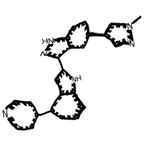 Cn1cc(-c2ccc3[nH]nc(-c4cc5c(-c6ccncc6)cccc5[nH]4)c3c2)cn1